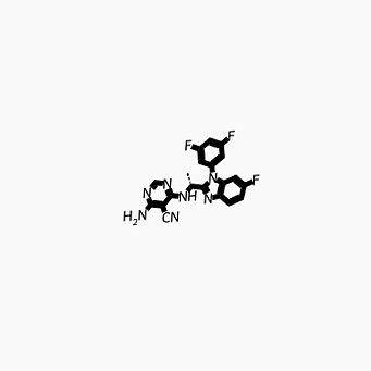 C[C@@H](Nc1ncnc(N)c1C#N)c1nc2ccc(F)cc2n1-c1cc(F)cc(F)c1